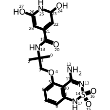 CC(C)(COc1cccc2c1C(N)=NS(=O)(=O)N2)NC(=O)C1=CC(O)NC(O)=C1